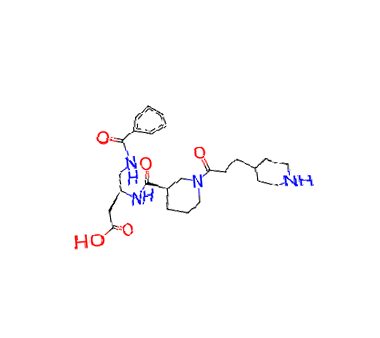 O=C(O)C[C@@H](CNC(=O)c1ccccc1)NC(=O)[C@@H]1CCCN(C(=O)CCC2CCNCC2)C1